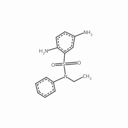 CCN(c1ccccc1)S(=O)(=O)c1cc(N)ccc1N